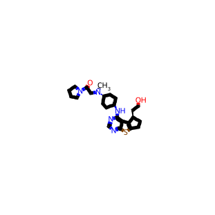 CN(CC(=O)N1CCCC1)[C@H]1CC[C@H](Nc2ncnc3sc4c(c23)[C@@H](CCO)CC4)CC1